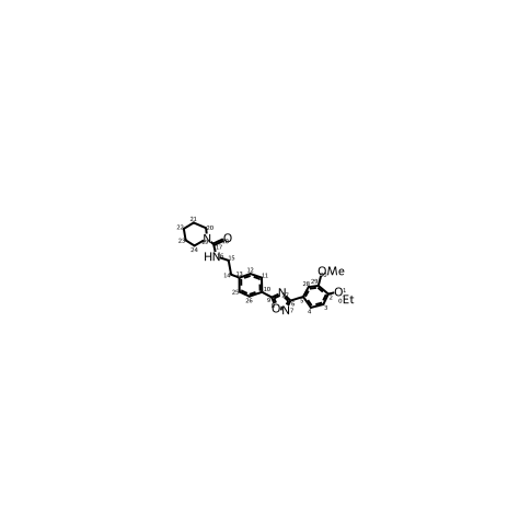 CCOc1ccc(-c2noc(-c3ccc(CCNC(=O)N4CCCCC4)cc3)n2)cc1OC